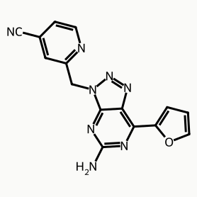 N#Cc1ccnc(Cn2nnc3c(-c4ccco4)nc(N)nc32)c1